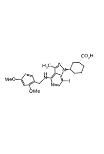 COc1ccc(CNc2ncc(I)c3c2c(C)nn3[C@@H]2CCC[C@@H](C(=O)O)C2)c(OC)c1